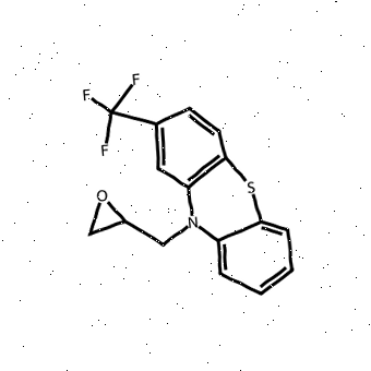 FC(F)(F)c1ccc2c(c1)N(CC1CO1)c1ccccc1S2